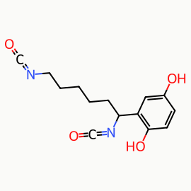 O=C=NCCCCCC(N=C=O)c1cc(O)ccc1O